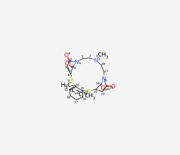 CN1CCN2C(=O)C=C(SC3(C)C4CCCC(CC4)C3(C)SC3CC(=O)N(CC1)C3=O)C2=O